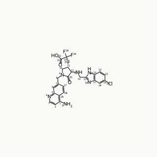 Nc1ccnc2cc(CN3CCC(NCc4nc5cc(Cl)ccc5[nH]4)C3=O)ccc12.O=C(O)C(F)(F)F